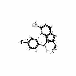 C=Cc1cc2ccc(CC)cc2n1Cc1ccc(F)cc1